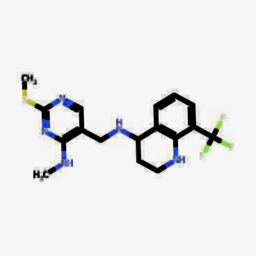 CNc1nc(SC)ncc1CNC1CCNc2c1cccc2C(F)(F)F